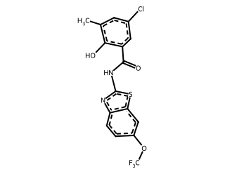 Cc1cc(Cl)cc(C(=O)Nc2nc3ccc(OC(F)(F)F)cc3s2)c1O